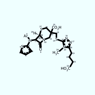 CC(=O)N(c1cccs1)C1C(=O)N2CC(CSc3nnc(CCCC(=O)O)n3C)(C(=O)O)CS[C@H]12